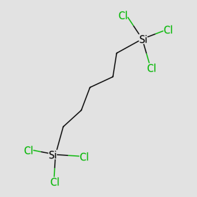 Cl[Si](Cl)(Cl)CCCCC[Si](Cl)(Cl)Cl